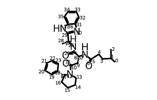 CC(C)CCC(=O)N[C@@H](CC(=O)N1CCCC[C@@H]1c1ccccc1)C(=O)N[C@@H](C)c1nc2ccccc2[nH]1